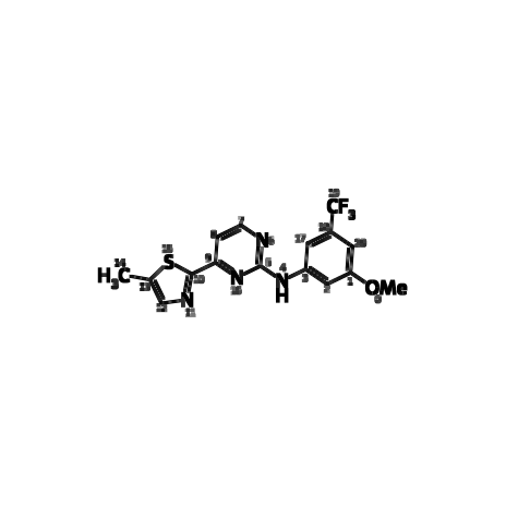 COc1cc(Nc2nccc(-c3ncc(C)s3)n2)cc(C(F)(F)F)c1